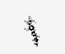 C[C@@H]1C[C@@H](Oc2cncc(Nc3cc(OC(F)F)[nH]n3)n2)CCN(C(=O)OC(C)(C)C)C1